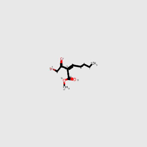 CCCCC=C(C(=O)CBr)C(=O)OC